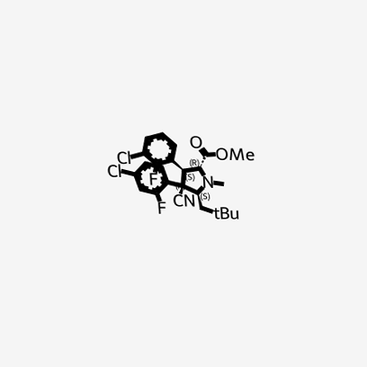 COC(=O)[C@H]1[C@H](c2cccc(Cl)c2F)[C@@](C#N)(c2ccc(Cl)cc2F)[C@H](CC(C)(C)C)N1C